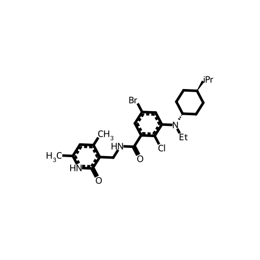 CCN(c1cc(Br)cc(C(=O)NCc2c(C)cc(C)[nH]c2=O)c1Cl)[C@H]1CC[C@H](C(C)C)CC1